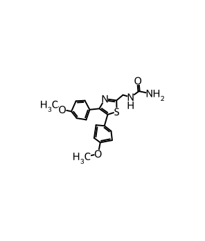 COc1ccc(-c2nc(CNC(N)=O)sc2-c2ccc(OC)cc2)cc1